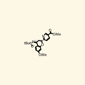 COC(=O)c1ccc([C@H]2C/C(=N/[S+]([O-])C(C)(C)C)c3ccc(OC)cc3O2)nc1